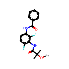 CCOC(C)(C)C(=O)Nc1c(F)ccc(NC(=O)c2ccccc2)c1F